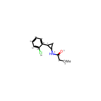 COCC(=O)NC1CC1c1ccccc1Cl